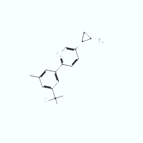 Cc1cc(-c2ccc([C@H]3C[C@@H]3N)cn2)cc(C(F)(F)F)c1